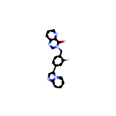 O=c1c2ncccc2ncn1Cc1ccc(-c2cnc3ccccn23)cc1F